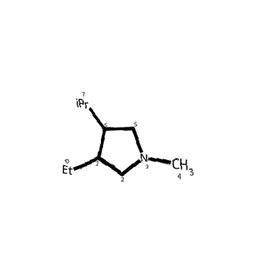 CCC1CN(C)CC1C(C)C